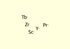 [Pr].[Sc].[Tb].[Y].[Zr]